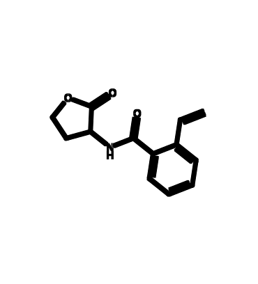 C=Cc1ccccc1C(=O)NC1CCOC1=O